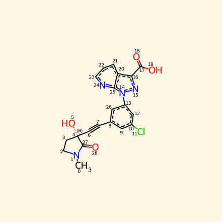 CN1CC[C@@](O)(C#Cc2cc(Cl)cc(-n3nc(C(=O)O)c4cccnc43)c2)C1=O